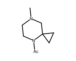 CC(=O)N1CCN(C)CC12CC2